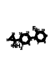 NC1(c2ccc(-c3ccccc3F)cc2)CC1